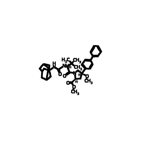 COC(=O)[C@@H]1C[C@@](OC)(c2ccc(-c3ccccc3)cc2)CN1C(=O)[C@@H](NC(=O)NC12CC3CC(CC(C3)C1)C2)C(C)(C)C